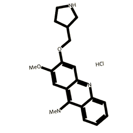 CNc1c2ccccc2nc2cc(OCC3CCNC3)c(OC)cc12.Cl